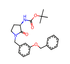 CC(C)(C)OC(=O)N[C@@H]1CCN(Cc2cccc(OCc3ccccc3)c2)C1=O